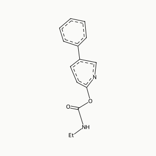 CCNC(=O)Oc1ccc(-c2ccccc2)cn1